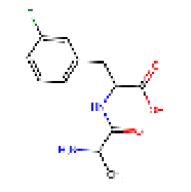 CC(N)C(=O)NC(Cc1cccc(F)c1)C(=O)O